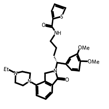 CCN1CCN(c2cccc3c2CN([C@H](CCCNC(=O)c2cccs2)c2ccc(OC)c(OC)c2)C3=O)CC1